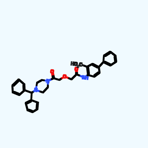 O=C(COCC(=O)N1CCN(C(c2ccccc2)c2ccccc2)CC1)Nc1ccc(-c2ccccc2)cc1C(=O)O